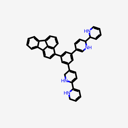 C1=CCNC(C2=CC=C(c3cc(C4=CNC(C5C=CC=CN5)C=C4)cc(-c4ccc5c6c(cccc46)-c4ccccc4-5)c3)CN2)=C1